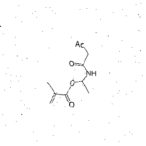 C=C(C)C(=O)OC(C)NC(=O)CC(C)=O